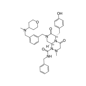 CN(Cc1cccc(CN2C[C@H]3N(C(=O)CN(C)N3C(=O)NCc3ccccc3)[C@@H](Cc3ccc(O)cc3)C2=O)c1)C1CCOCC1